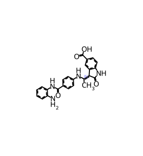 C/C(Nc1ccc(C(=O)Nc2ccccc2N)cc1)=C1\C(=O)Nc2ccc(C(=O)O)cc21